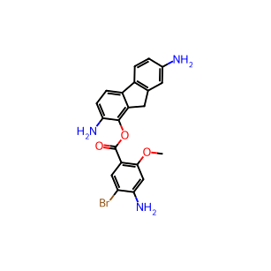 COc1cc(N)c(Br)cc1C(=O)Oc1c(N)ccc2c1Cc1cc(N)ccc1-2